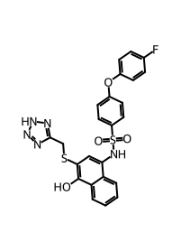 O=S(=O)(Nc1cc(SCc2nn[nH]n2)c(O)c2ccccc12)c1ccc(Oc2ccc(F)cc2)cc1